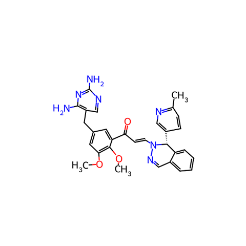 COc1cc(Cc2cnc(N)nc2N)cc(C(=O)/C=C/N2N=Cc3ccccc3[C@H]2c2ccc(C)nc2)c1OC